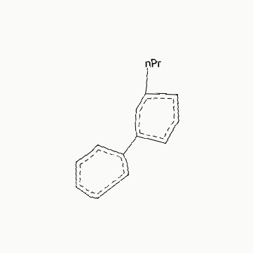 CCCc1cccc(-c2ccccc2)c1